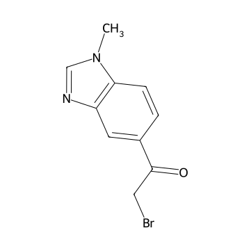 Cn1cnc2cc(C(=O)CBr)ccc21